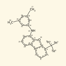 [2H]C([2H])([2H])c1cccc2c1oc1c(Nc3cc(C)cc(C)c3)cccc12